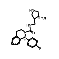 O=C(NCC1CNC[C@@H]1O)N1CCc2ccccc2[C@@H]1c1ccc(F)cc1